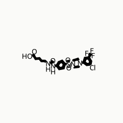 O=C(O)CCCCNC(=O)Nc1ccc(S(=O)(=O)N2CCN(c3cc(Cl)cc(C(F)(F)F)c3)CC2)cc1